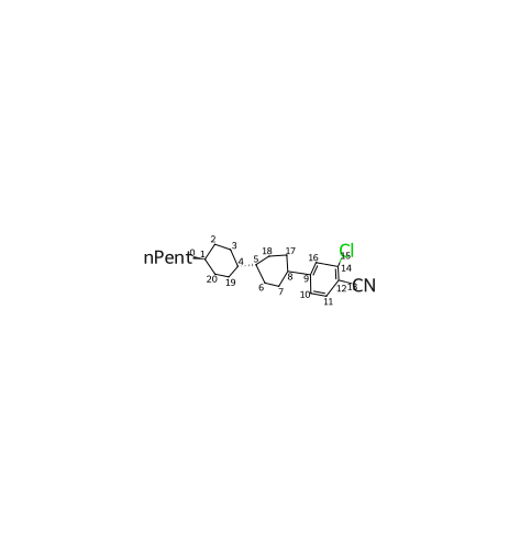 CCCCC[C@H]1CC[C@H](C2CCC(c3ccc(C#N)c(Cl)c3)CC2)CC1